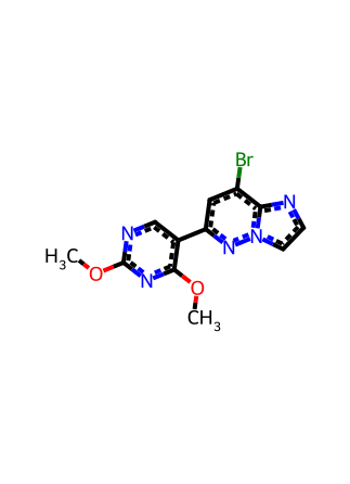 COc1ncc(-c2cc(Br)c3nccn3n2)c(OC)n1